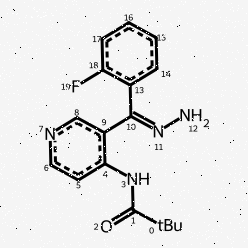 CC(C)(C)C(=O)Nc1ccncc1C(=NN)c1ccccc1F